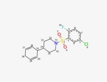 O=S(=O)(c1cc(Cl)ccc1F)N1CCC(C2C=CCC=C2)CC1